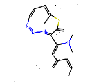 C=C(/C=C\C)/C=C(/C1=N\N=N/C=C\C=C(/C)SC1=C)N(C)C